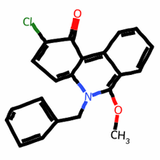 COc1c2ccccc2c2c(=O)c(Cl)ccc-2n1Cc1ccccc1